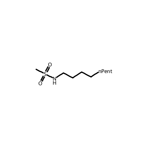 CCCCCCCCCNS(C)(=O)=O